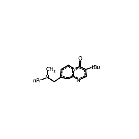 CCCN(C)Cc1ccn2c(=O)c(C(C)(C)C)cnc2c1